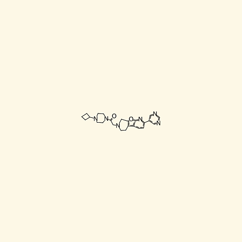 O=C(CN1CCc2c(oc3nc(-c4cncnc4)ccc23)C1)N1CCN(C2CCC2)CC1